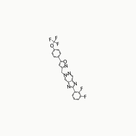 Fc1cccc(-c2nc3cnn(Cc4cc(-c5ccc(OC(F)(F)F)cc5)on4)cc-3n2)c1F